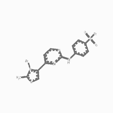 CCS(=O)(=O)c1ccc(Nc2nccc(-c3cnc(C)n3C(C)C)n2)cc1